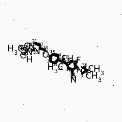 CC1(C)CN(c2c(F)cc(C(C)(C)c3ccc(OCc4ccnc(NS(C)(=O)=O)n4)cc3)cc2C#N)C1